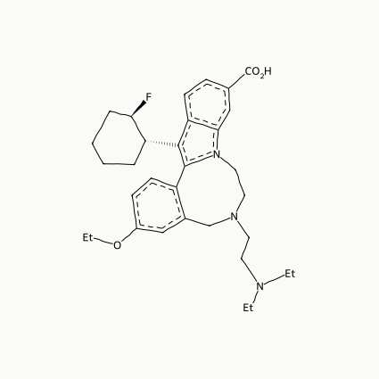 CCOc1ccc2c(c1)CN(CCN(CC)CC)CCn1c-2c([C@@H]2CCCC[C@H]2F)c2ccc(C(=O)O)cc21